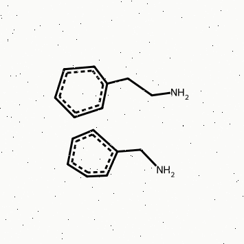 NCCc1ccccc1.NCc1ccccc1